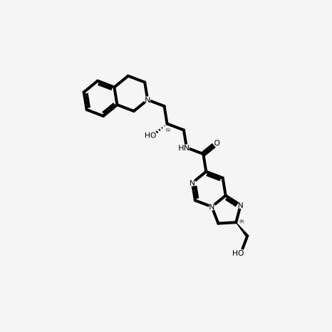 O=C(NC[C@H](O)CN1CCc2ccccc2C1)C1=CC2=N[C@@H](CO)CN2C=N1